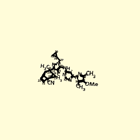 COc1c(C)nn(-c2cc(Nc3c(C)c(C4(C)C5CC5C5(C#N)C=C6C5C64)nn3CC3CC3)ncn2)c1C